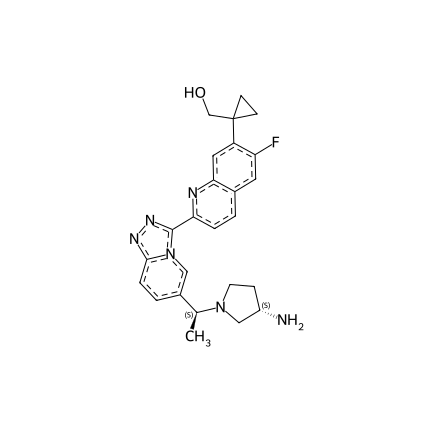 C[C@@H](c1ccc2nnc(-c3ccc4cc(F)c(C5(CO)CC5)cc4n3)n2c1)N1CC[C@H](N)C1